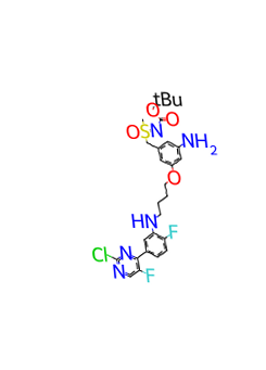 CC(C)(C)OC(=O)N=S(C)(=O)Cc1cc(N)cc(OCCCCNc2cc(-c3nc(Cl)ncc3F)ccc2F)c1